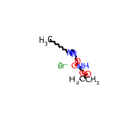 C=C(C)C(=O)OCCNC(=O)OCCn1cc[n+](CCCCCCCCCC)c1.[Br-]